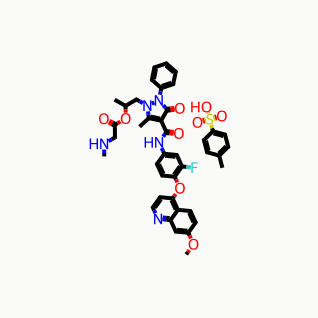 CNCC(=O)OC(C)Cn1c(C)c(C(=O)Nc2ccc(Oc3ccnc4cc(OC)ccc34)c(F)c2)c(=O)n1-c1ccccc1.Cc1ccc(S(=O)(=O)O)cc1